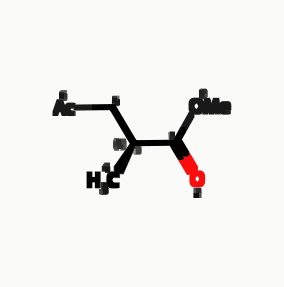 COC(=O)[C@@H](C)CC(C)=O